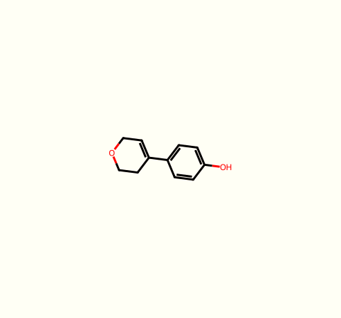 Oc1ccc(C2=CCOCC2)cc1